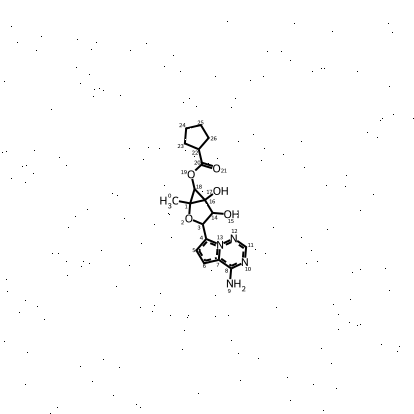 CC12OC(c3ccc4c(N)ncnn34)C(O)C1(O)C2OC(=O)C1CCCC1